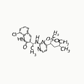 CC(C)CC(c1ccnc(N[C@@H](C)c2cc3cccc(Cl)c3[nH]c2=O)n1)S(C)(=O)=O